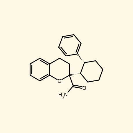 NC(=O)C1([C@H]2CCCC[C@H]2c2ccccc2)CCc2ccccc2O1